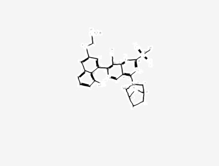 CCc1cccc2cc(OCOC)cc(-c3ncc4c(N5CC6CCC(C5)N6C(=O)O)nc(S(C)(=O)=O)nc4c3F)c12